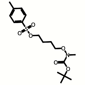 Cc1ccc(S(=O)(=O)OCCCCON(C)C(=O)OC(C)(C)C)cc1